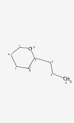 CCCC1[C]CCCO1